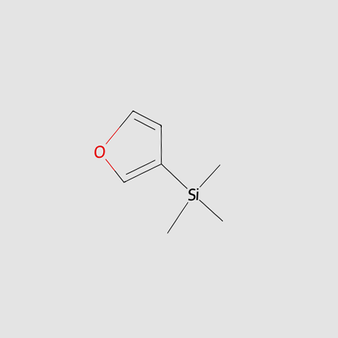 C[Si](C)(C)c1ccoc1